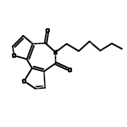 CCCCCCn1c(=O)c2ccoc2c2occc2c1=O